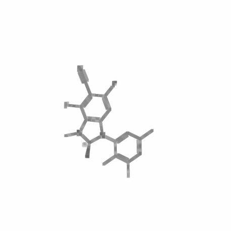 Cc1cc(C)c(C)c(N2c3cc(F)c(C#N)c(F)c3N(C)[C@@H]2C)c1